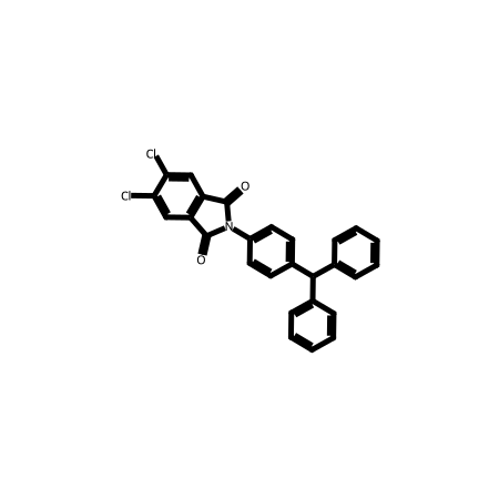 O=C1c2cc(Cl)c(Cl)cc2C(=O)N1c1ccc([C](c2ccccc2)c2ccccc2)cc1